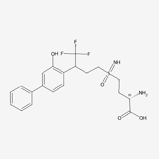 N=S(=O)(CCC(c1ccc(-c2ccccc2)cc1O)C(F)(F)F)CC[C@H](N)C(=O)O